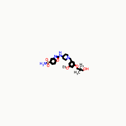 CCOc1cc(CN2CCC(Nc3nc4cc(S(N)(=O)=O)ccc4o3)CC2)cc(OCC(C)(C)CO)c1